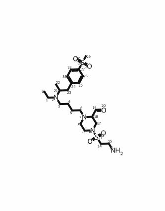 CCN(CCCCN1CCN(S(=O)(=O)CCN)CC1C=O)C(C)Cc1ccc(S(C)(=O)=O)cc1